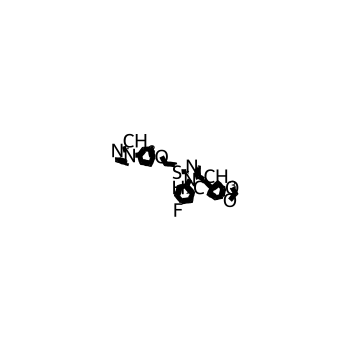 Cc1nccn1-c1ccc(OCCSc2ncc(C(C)(C)c3ccc4c(c3)OCO4)n2-c2ccc(F)cc2)cc1